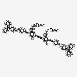 CCCCCCCCCCCCOc1cc(C#Cc2ccc(/C=C/c3ccc(N(c4ccccc4)c4ccccc4)cc3)cc2)c(C)cc1C#CC#Cc1cc(OCCCCCCCCCCCC)c(C#Cc2ccc(/C=C/c3ccc(N(c4ccccc4)c4ccccc4)cc3)cc2)cc1C